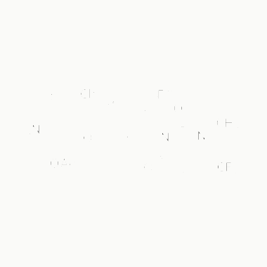 CC(=O)Oc1ncccc1Oc1cc(-n2c(=O)cc(C(F)(F)F)n(C)c2=O)c(F)cc1Cl